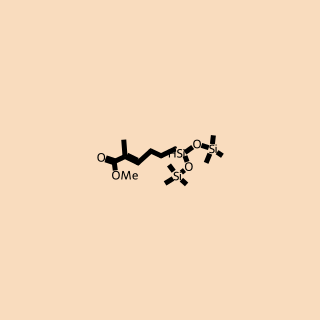 COC(=O)C(C)=CCCC[SiH](O[Si](C)(C)C)O[Si](C)(C)C